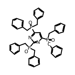 O=P(Cc1ccccc1)(Cc1ccccc1)c1cc(P(=O)(Cc2ccccc2)Cc2ccccc2)nc(P(=O)(Cc2ccccc2)Cc2ccccc2)n1